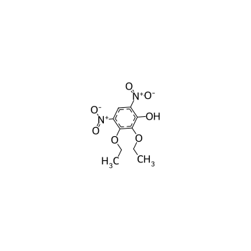 CCOc1c([N+](=O)[O-])cc([N+](=O)[O-])c(O)c1OCC